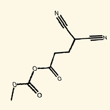 COC(=O)OC(=O)CCC(C#N)C#N